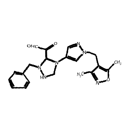 Cc1noc(C)c1Cn1cc(N2CNN(Cc3ccccc3)C2C(=O)C=O)cn1